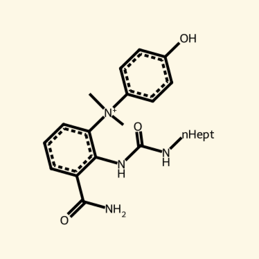 CCCCCCCNC(=O)Nc1c(C(N)=O)cccc1[N+](C)(C)c1ccc(O)cc1